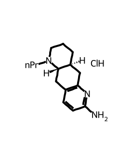 CCCN1CCC[C@H]2Cc3nc(N)ccc3C[C@@H]21.Cl